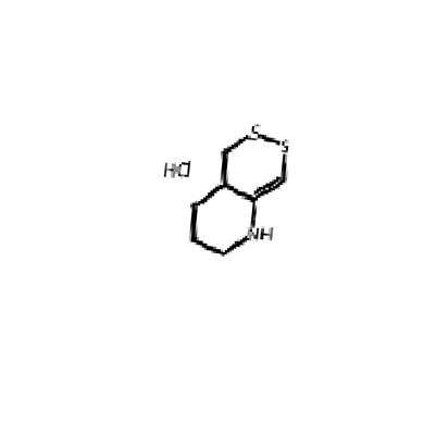 C1=C2NCCCC2CSS1.Cl